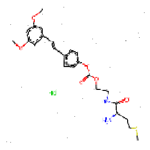 COc1cc(C=Cc2ccc(OC(=O)OCCNC(=O)C(N)CCSC)cc2)cc(OC)c1.Cl